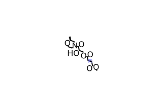 C=C1CN(C(=O)C(O)COC(=O)/C=C/C(=O)OC)CCO1